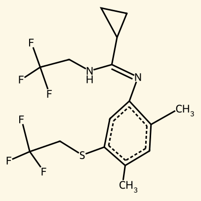 Cc1cc(C)c(SCC(F)(F)F)cc1/N=C(\NCC(F)(F)F)C1CC1